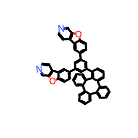 c1ccc2c(c1)-c1ccccc1-c1cccc(-c3cc(-c4ccc5oc6cnccc6c5c4)cc(-c4ccc5oc6cnccc6c5c4)c3)c1-c1ccccc1-2